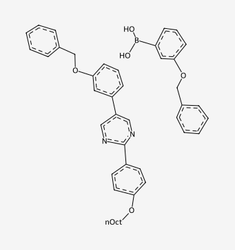 CCCCCCCCOc1ccc(-c2ncc(-c3cccc(OCc4ccccc4)c3)cn2)cc1.OB(O)c1cccc(OCc2ccccc2)c1